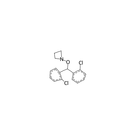 Clc1ccccc1C(ON1CCC1)c1ccccc1Cl